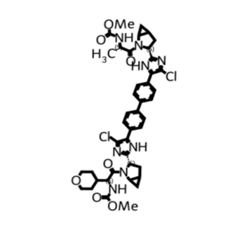 COC(=O)N[C@@H](C)C(=O)N1C2CC2C[C@H]1c1nc(Cl)c(-c2ccc(-c3ccc(-c4[nH]c([C@@H]5CC6CC6N5C(=O)[C@@H](NC(=O)OC)C5CCOCC5)nc4Cl)cc3)cc2)[nH]1